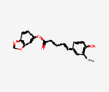 COc1cc(/C=C/CCC(=O)Oc2ccc3c(c2)OCO3)ccc1O